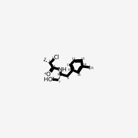 C[C@H](Cl)C(=O)N[C@@H](CO)Cc1cccc(I)c1